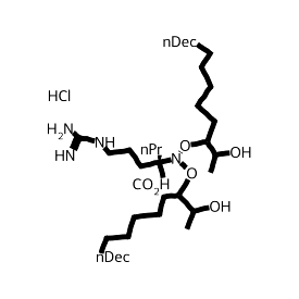 CCCCCCCCCCCCCCCC(ON(OC(CCCCCCCCCCCCCCC)C(C)O)[C@@](CCC)(CCCNC(=N)N)C(=O)O)C(C)O.Cl